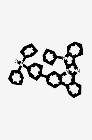 O=P(c1ccccc1)(c1ccccc1)c1ccc(-c2ccc3c4ccccc4c4nc5c6ccccc6n(-c6ccccc6)c5n4c3c2)cc1